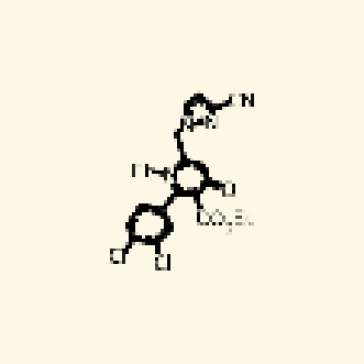 CCOC(=O)c1c(-c2ccc(Cl)c(Cl)c2)n(CC)c(Cn2ccc(C#N)n2)cc1=O